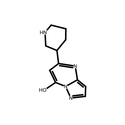 Oc1cc(C2CCCNC2)nc2ccnn12